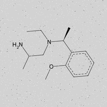 CCN(CC(C)N)[C@@H](C)c1ccccc1OC